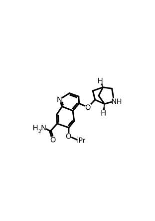 CC(C)Oc1cc2c(OC3C[C@@H]4CN[C@H]3C4)ccnc2cc1C(N)=O